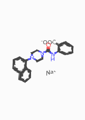 O=C([O-])c1ccccc1NC(=O)N1CCN(c2cccc3ccccc23)CC1.[Na+]